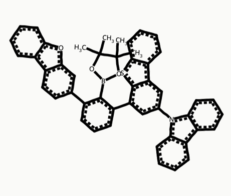 CC1(C)OB(c2c(-c3ccc4c(c3)oc3ccccc34)cccc2-c2cc(-n3c4ccccc4c4ccccc43)cc3c2sc2ccccc23)OC1(C)C